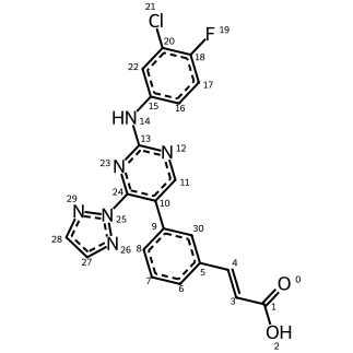 O=C(O)/C=C/c1cccc(-c2cnc(Nc3ccc(F)c(Cl)c3)nc2-n2nccn2)c1